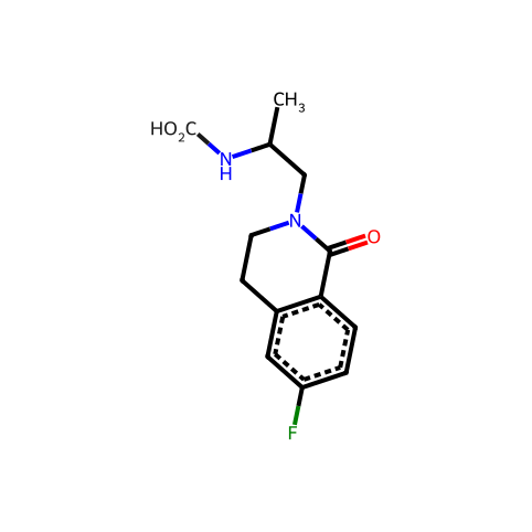 CC(CN1CCc2cc(F)ccc2C1=O)NC(=O)O